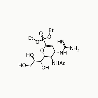 CCOP(=O)(OCC)C1=C[C@H](NC(=N)N)[C@@H](NC(C)=O)[C@H]([C@H](O)[C@H](O)CO)O1